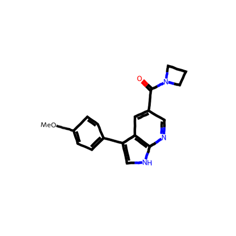 COc1ccc(-c2c[nH]c3ncc(C(=O)N4CCC4)cc23)cc1